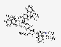 CCCCCCc1cc(-c2sc(/C=C(/C#N)C(=O)O)c3c2OCCO3)sc1-c1ccc(N(c2ccc3c(c2)C(C)(C)c2ccccc2-3)c2ccc3c(c2)C(C)(C)c2ccccc2-3)cc1